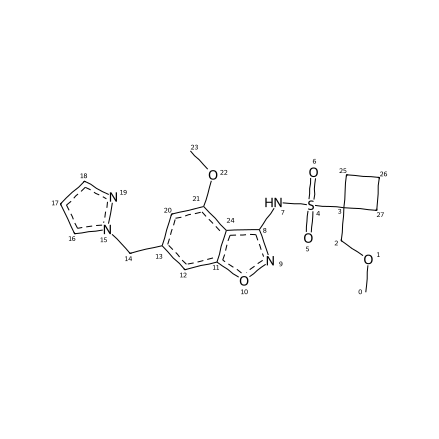 COCC1(S(=O)(=O)Nc2noc3cc(Cn4cccn4)cc(OC)c23)CCC1